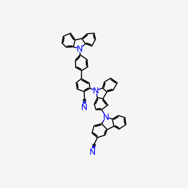 N#Cc1ccc2c(c1)c1ccccc1n2-c1ccc2c(c1)c1ccccc1n2-c1cc(-c2ccc(-n3c4ccccc4c4ccccc43)cc2)ccc1C#N